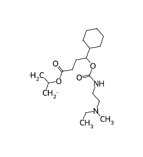 [CH2]C([CH2])OC(=O)CCC(OC(=O)NCCN(C)CC)C1CCCCC1